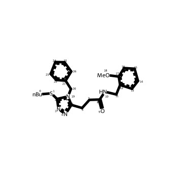 CCCCSc1nnc(CCC(=O)NCc2ccccc2OC)n1Cc1ccccc1